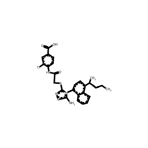 CCCC(C)c1ccc(-n2c(N)nnc2SCC(=O)Nc2ccc(C(=O)O)cc2Cl)c2ccccc12